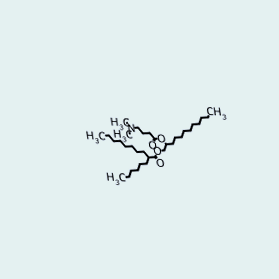 CCCCCCCCCCC(COC(=O)C(CCCCCC)CCCCCCCC)OC(=O)CCCN(C)C